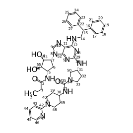 CCC(=O)N[C@H]1C[C@@H](n2cnc3c(NCC(c4ccccc4)c4ccccc4)nc(N[C@@H]4CCN(C(=O)NC5CCN(c6ccccn6)CC5)C4)nc32)[C@H](O)[C@@H]1O